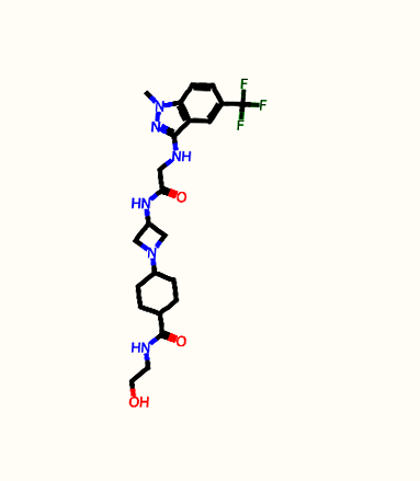 Cn1nc(NCC(=O)NC2CN(C3CCC(C(=O)NCCO)CC3)C2)c2cc(C(F)(F)F)ccc21